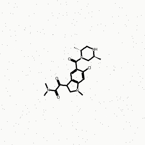 C[C@@H]1CN[C@@H](C)CN1C(=O)c1cc2c(cc1Cl)N(C)CC2C(=O)C(=O)N(C)C